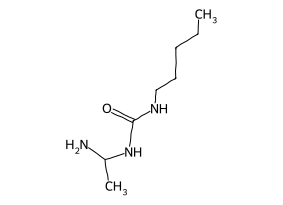 CCCCCNC(=O)NC(C)N